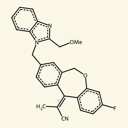 COCc1nc2ccccc2n1Cc1ccc2c(c1)COc1cc(F)ccc1/C2=C(/C)C#N